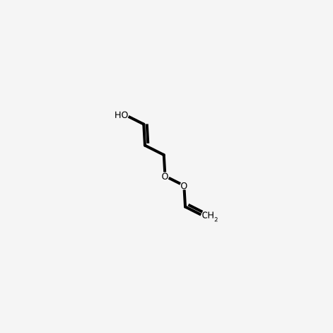 C=COOCC=CO